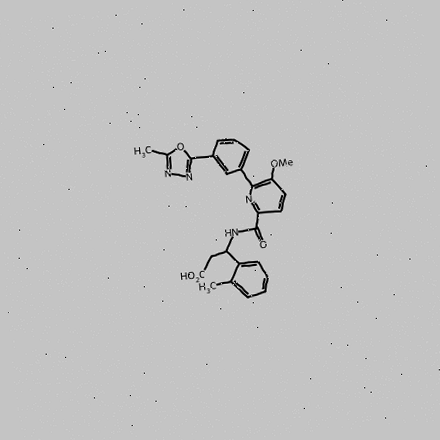 COc1ccc(C(=O)NC(CC(=O)O)c2ccccc2C)nc1-c1cccc(-c2nnc(C)o2)c1